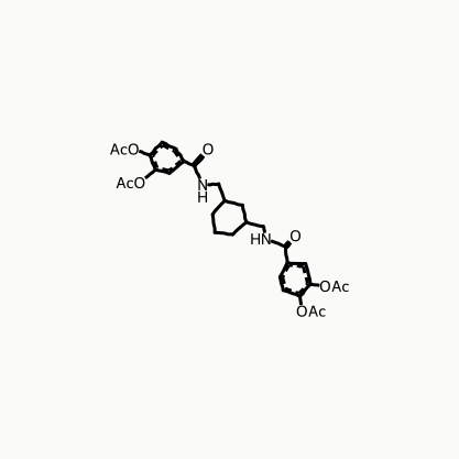 CC(=O)Oc1ccc(C(=O)NCC2CCCC(CNC(=O)c3ccc(OC(C)=O)c(OC(C)=O)c3)C2)cc1OC(C)=O